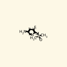 CS(C)(=O)=Nc1ncc(N)cc1F